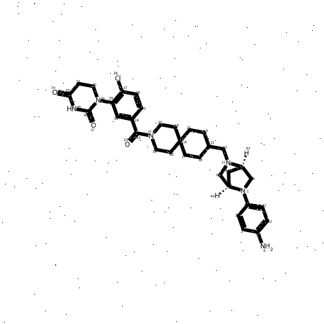 Nc1ccc(N2C[C@H]3C[C@@H]2CN3CC2CCC3(CC2)CCN(C(=O)c2ccc(Cl)c(N4CCC(=O)NC4=O)c2)CC3)cc1